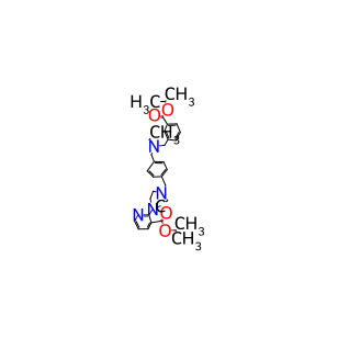 CCN(Cc1ccc(CN2CCN(c3ncccc3C(=O)OC(C)C)CC2)cc1)Cc1cccc(C(=O)OC(C)C)c1